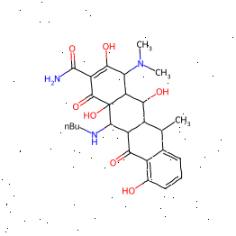 CCCCNC1C2C(=O)c3c(O)cccc3C(C)C2C(O)C2C(N(C)C)C(O)=C(C(N)=O)C(=O)C12O